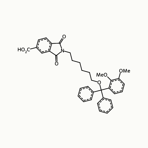 COc1cccc(C(OCCCCCCN2C(=O)c3ccc(C(=O)O)cc3C2=O)(c2ccccc2)c2ccccc2)c1OC